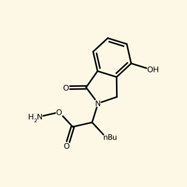 CCCCC(C(=O)ON)N1Cc2c(O)cccc2C1=O